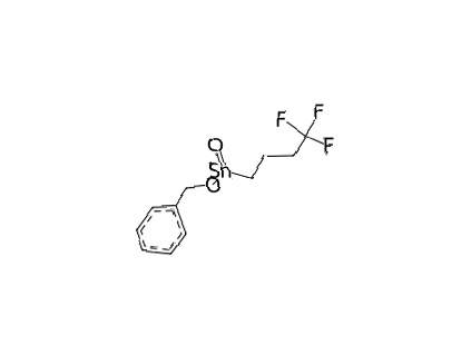 [O]=[Sn]([CH2]CCC(F)(F)F)[O]Cc1ccccc1